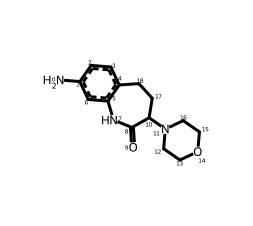 Nc1ccc2c(c1)NC(=O)C(N1CCOCC1)CC2